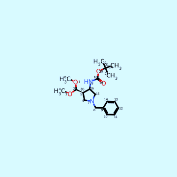 COC(OC)[C@@H]1CN(Cc2ccccc2)CC1NC(=O)OC(C)(C)C